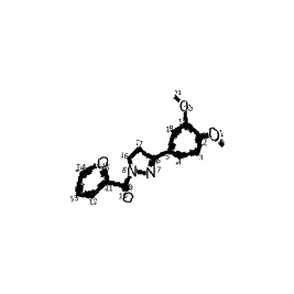 COc1ccc(C2=NN(C(=O)c3ccco3)CC2)cc1OC